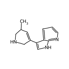 CC1C=C(c2c[nH]c3ncccc23)CNC1